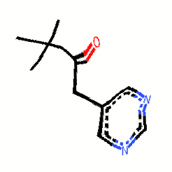 CC(C)(C)C(=O)Cc1cncnc1